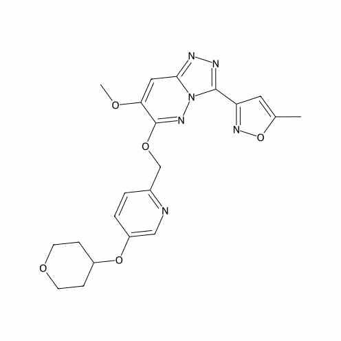 COc1cc2nnc(-c3cc(C)on3)n2nc1OCc1ccc(OC2CCOCC2)cn1